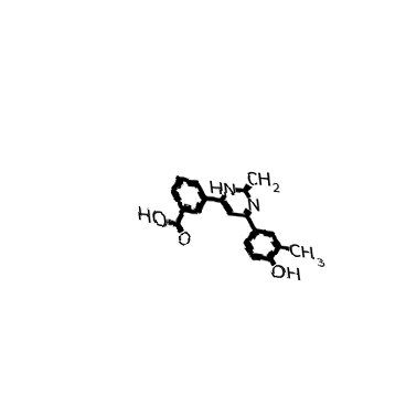 C=C1N=C(c2ccc(O)c(C)c2)C=C(c2cccc(C(=O)O)c2)N1